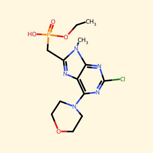 CCOP(=O)(O)Cc1nc2c(N3CCOCC3)nc(Cl)nc2n1C